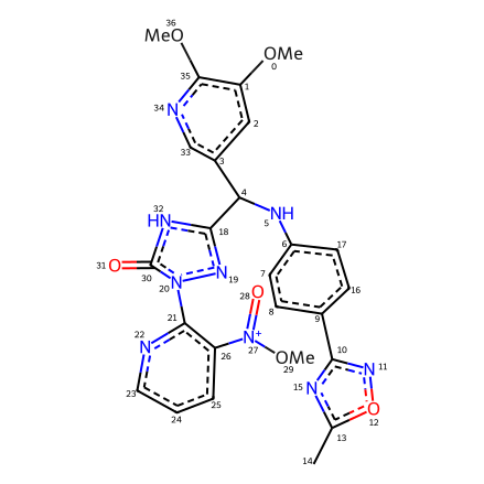 COc1cc(C(Nc2ccc(-c3noc(C)n3)cc2)c2nn(-c3ncccc3[N+](=O)OC)c(=O)[nH]2)cnc1OC